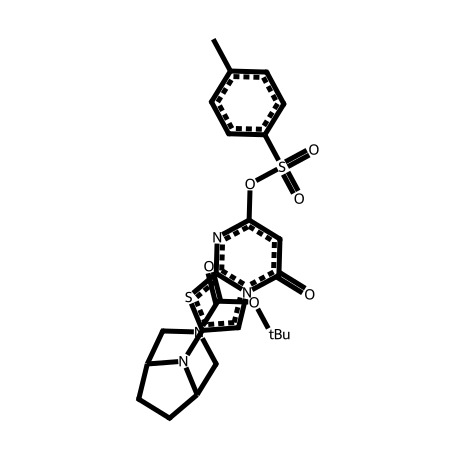 Cc1ccc(S(=O)(=O)Oc2cc(=O)n3cc(N4C5CCC4CN(C(=O)OC(C)(C)C)C5)sc3n2)cc1